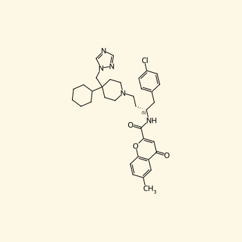 Cc1ccc2oc(C(=O)N[C@H](CCN3CCC(Cn4cncn4)(C4CCCCC4)CC3)Cc3ccc(Cl)cc3)cc(=O)c2c1